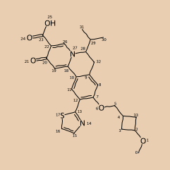 COC1CC(COc2cc3c(cc2-c2nccs2)-c2cc(=O)c(C(=O)O)cn2C(C(C)C)C3)C1